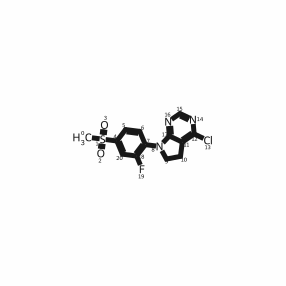 CS(=O)(=O)c1ccc(N2CCc3c(Cl)ncnc32)c(F)c1